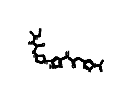 CC[C@H](C)NC(=O)O[C@@H]1CC[C@H](c2cc(NC(=O)Cc3cn(C(C)C)nn3)n[nH]2)C1